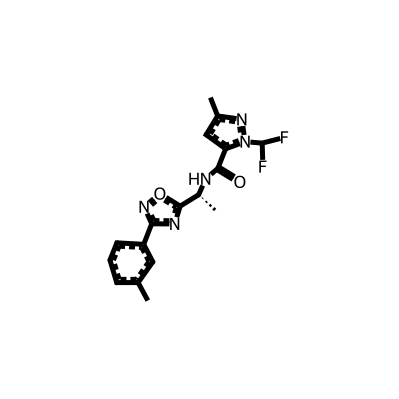 Cc1cccc(-c2noc([C@@H](C)NC(=O)c3cc(C)nn3C(F)F)n2)c1